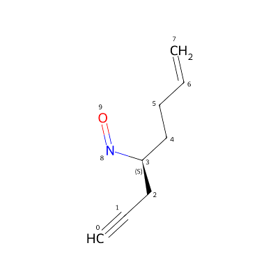 C#CC[C@H](CCC=C)N=O